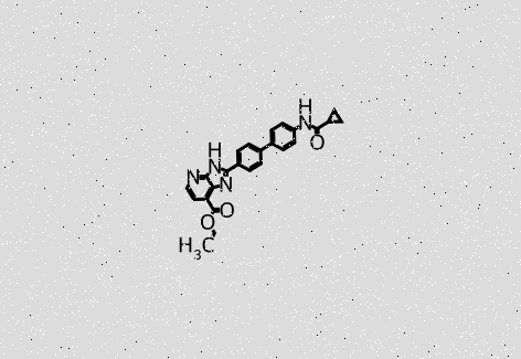 CCOC(=O)c1ccnc2[nH]c(-c3ccc(-c4ccc(NC(=O)C5CC5)cc4)cc3)nc12